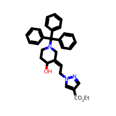 CCOC(=O)c1cnn(CC=C2CN(C(c3ccccc3)(c3ccccc3)c3ccccc3)CCC2O)c1